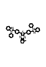 CC12CCC(c3nc4c(-c5ccc(-c6nc7ccccc7n6-c6ccccc6)cc5)sc(-c5ccc(-c6nc7ccccc7n6-c6ccccc6)cc5)c4nc31)C2(C)C